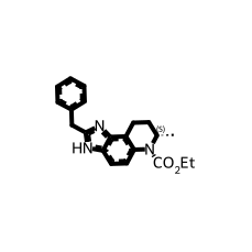 CCOC(=O)N1c2ccc3[nH]c(Cc4ccccc4)nc3c2CC[C@@H]1C